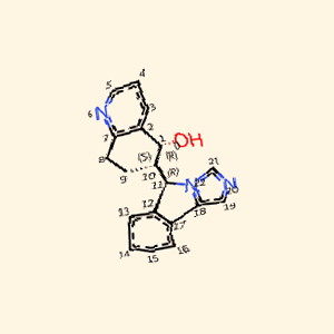 O[C@H]1c2cccnc2CC[C@H]1[C@@H]1c2ccccc2-c2cncn21